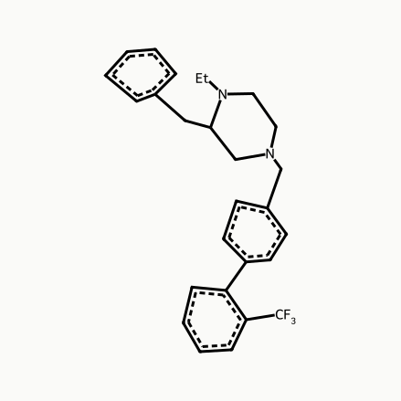 CCN1CCN(Cc2ccc(-c3ccccc3C(F)(F)F)cc2)CC1Cc1ccccc1